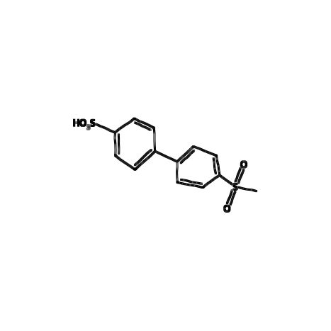 CS(=O)(=O)c1ccc(-c2ccc(S(=O)(=O)O)cc2)cc1